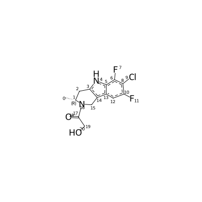 C[C@@H]1Cc2[nH]c3c(F)c(Cl)c(F)cc3c2CN1C(=O)CO